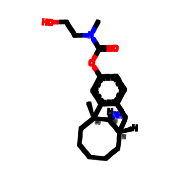 CN(CCO)C(=O)Oc1ccc2c(c1)[C@@]1(C)CCCCC[C@@H](C2)[C@@H]1N